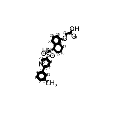 Cc1cccc(-c2ccc(S(=O)(=O)NC3CCCc4c(OCC(=O)O)cccc43)cn2)c1